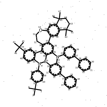 CC(C)(C)c1ccc(N2B3c4ccc(-c5ccccc5)cc4N(c4cccc(-c5ccccc5)c4)c4cc5c(c(c43)-c3cc(C(C)(C)C)ccc32)CCOc2cc3c(cc2-5)C(C)(C)CCC3(C)C)cc1